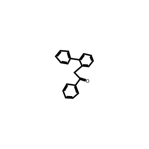 O=C(Cc1ccccc1-c1ccccc1)c1ccccc1